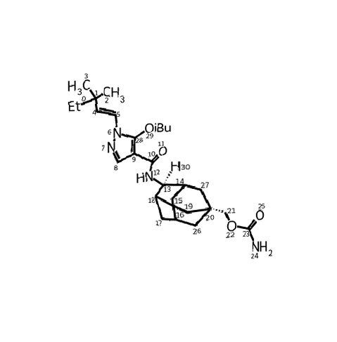 CCC(C)(C)/C=C/n1ncc(C(=O)N[C@H]2C3CC4CC2C[C@](COC(N)=O)(C4)C3)c1OCC(C)C